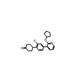 O=C1CCC(c2ccc(-c3cccnc3OC3CCCC3)cc2F)CC1